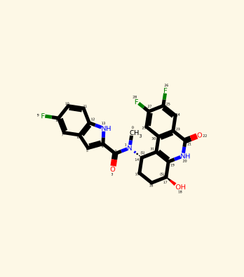 CN(C(=O)c1cc2cc(F)ccc2[nH]1)[C@H]1CC[C@H](O)c2[nH]c(=O)c3cc(F)c(F)cc3c21